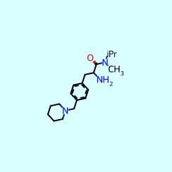 CC(C)N(C)C(=O)C(N)Cc1ccc(CN2CCCCC2)cc1